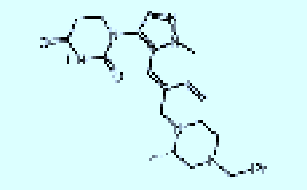 C=C/C(=C\c1c(N2CCC(=O)NC2=O)cnn1C)CN1CCN(CC(C)C)C[C@@H]1C